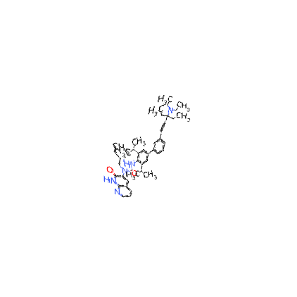 CCCCN(C(=O)Nc1c(C(C)C)cc(-c2cccc(C#CC(CC)(CC)N(CC)CC)c2)cc1C(C)C)c1cc2cccnc2[nH]c1=O